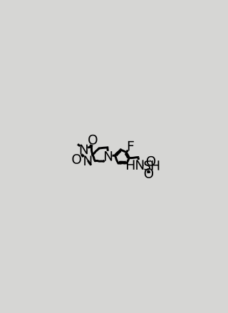 CN1C(=O)N(C)C2(CCN(c3ccc(CN[SH](=O)=O)c(F)c3)CC2)C1=O